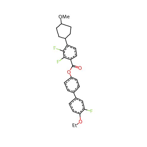 CCOc1ccc(-c2ccc(OC(=O)c3ccc(C4CCC(OC)CC4)c(F)c3F)cc2)cc1F